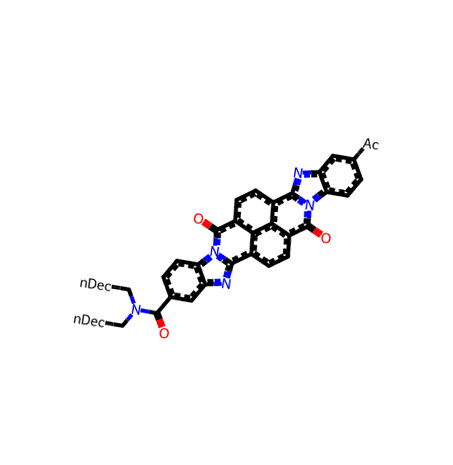 CCCCCCCCCCCN(CCCCCCCCCCC)C(=O)c1ccc2c(c1)nc1c3ccc4c(=O)n5c6ccc(C(C)=O)cc6nc5c5ccc(c(=O)n21)c3c45